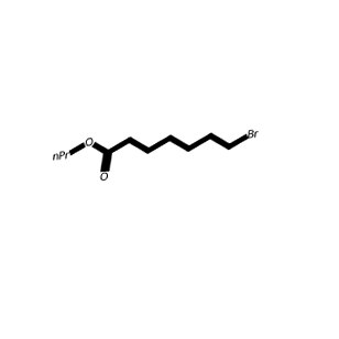 CCCOC(=O)CCCCCCBr